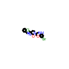 O=C1c2nn(Cc3ccccc3)c(Cl)c2CCN1[C@H]1CNc2ccc(Br)cc2OC1